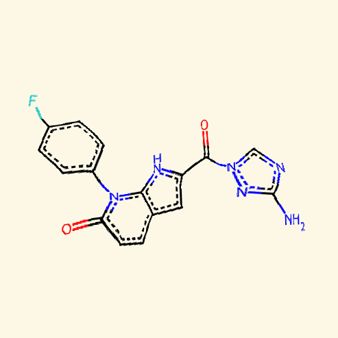 Nc1ncn(C(=O)c2cc3ccc(=O)n(-c4ccc(F)cc4)c3[nH]2)n1